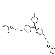 C=CC(=O)OCCCc1ccc(N(c2ccc(C)cc2)c2ccc(CCCOC(=O)C=C)cc2)cc1